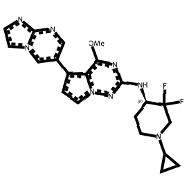 COc1nc(N[C@@H]2CCN(C3CC3)CC2(F)F)nn2ccc(-c3cnc4nccn4c3)c12